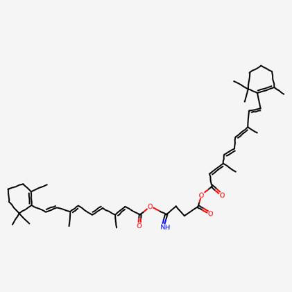 CC1=C(/C=C/C(C)=C/C=C/C(C)=C/C(=O)OC(=N)CCC(=O)OC(=O)/C=C(C)/C=C/C=C(C)/C=C/C2=C(C)CCCC2(C)C)C(C)(C)CCC1